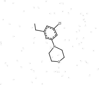 CCc1cc(Cl)cc(N2CCOCC2)n1